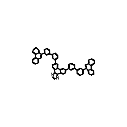 c1cc(-c2cccc(-c3cc4ccccc4c4ccccc34)c2)cc(-c2ccc3c(c2)c2cc(-c4cccc(-c5cccc(-c6cc7ccccc7c7ccccc67)c5)c4)ccc2c2nccnc32)c1